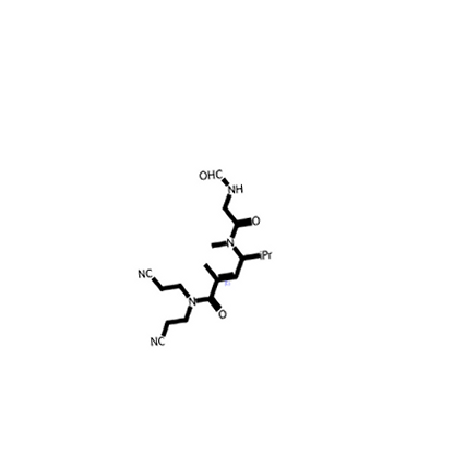 C/C(=C\C(C(C)C)N(C)C(=O)CNC=O)C(=O)N(CCC#N)CCC#N